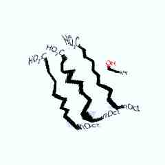 CC(C)CO.CCCCCCCC/C=C\CCCCCCCC(=O)O.CCCCCCCC/C=C\CCCCCCCC(=O)O.CCCCCCCC/C=C\CCCCCCCC(=O)O